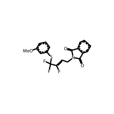 COc1cccc(SC(F)(F)C(F)=CCN2C(=O)c3ccccc3C2=O)c1